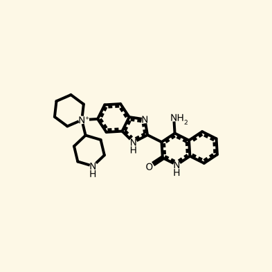 Nc1c(-c2nc3ccc([N+]4(C5CCNCC5)CCCCC4)cc3[nH]2)c(=O)[nH]c2ccccc12